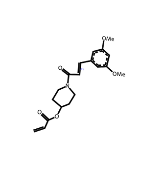 C=CC(=O)OC1CCN(C(=O)/C=C/c2cc(OC)cc(OC)c2)CC1